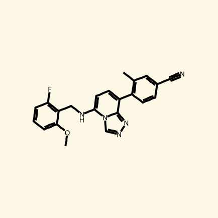 COc1cccc(F)c1CNc1ccc(-c2ccc(C#N)cc2C)c2nncn12